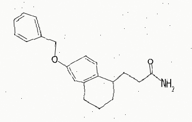 NC(=O)CCC1CCCc2cc(OCc3ccccc3)ccc21